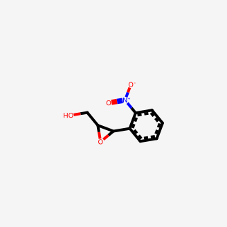 O=[N+]([O-])c1ccccc1C1OC1CO